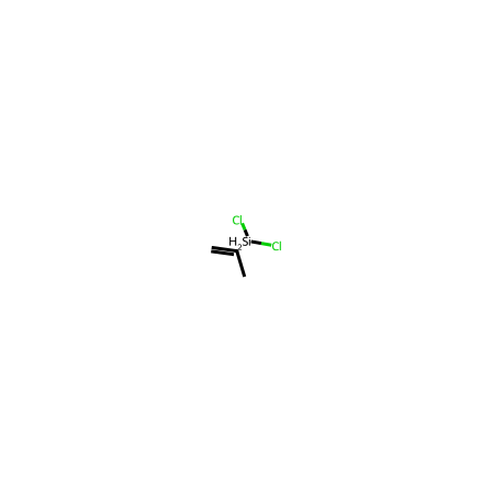 C=CC.Cl[SiH2]Cl